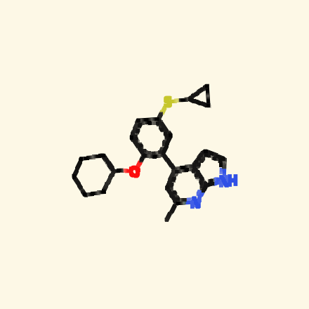 Cc1cc(-c2cc(SC3CC3)ccc2OC2CCCCC2)c2cc[nH]c2n1